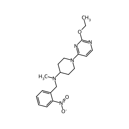 CCOc1nccc(N2CCC(N(C)Cc3ccccc3[N+](=O)[O-])CC2)n1